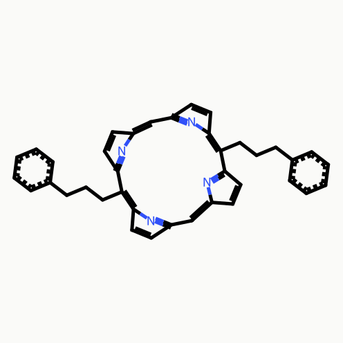 C1=CC2=NC1=CC1=NC(=C(CCCc3ccccc3)C3=NC(=CC4=NC(=C2CCCc2ccccc2)C=C4)C=C3)C=C1